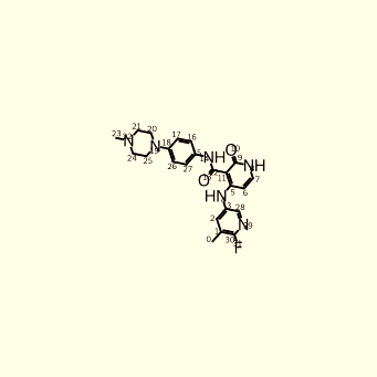 Cc1cc(Nc2cc[nH]c(=O)c2C(=O)Nc2ccc(N3CCN(C)CC3)cc2)cnc1F